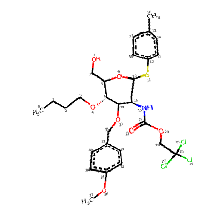 CCCCO[C@@H]1C(CO)O[C@@H](Sc2ccc(C)cc2)[C@@H](NC(=O)OCC(Cl)(Cl)Cl)C1OCc1ccc(OC)cc1